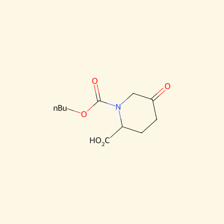 CCCCOC(=O)N1CC(=O)CCC1C(=O)O